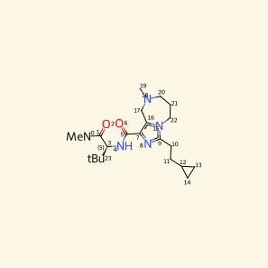 CNC(=O)[C@@H](NC(=O)c1nc(CCC2CC2)n2c1CN(C)CCC2)C(C)(C)C